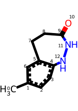 Cc1ccc2c(c1)CCC(=O)NN2